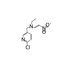 CCN(C=C[N+](=O)[O-])Cc1ccc(Cl)nc1